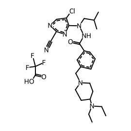 CCN(CC)C1CCN(Cc2cccc(C(=O)NN(CC(C)C)c3nc(C#N)ncc3Cl)c2)CC1.O=C(O)C(F)(F)F